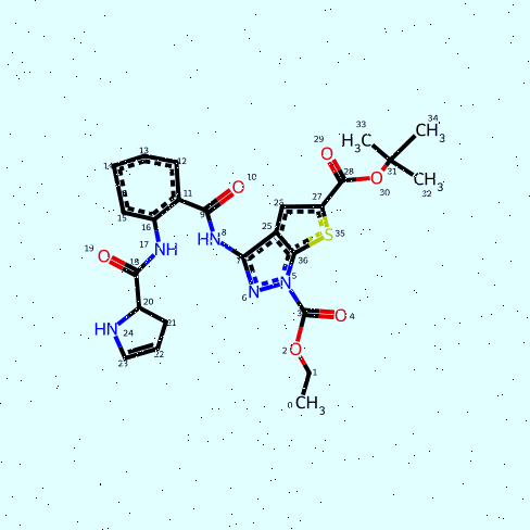 CCOC(=O)n1nc(NC(=O)c2ccccc2NC(=O)C2CC=CN2)c2cc(C(=O)OC(C)(C)C)sc21